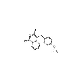 COc1ccc(Cn2c(=O)oc(=O)c3ncccc32)cc1